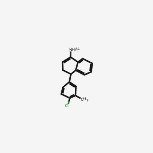 CC(=O)NC1=CCC(c2ccc(Cl)c(C)c2)c2ccccc21